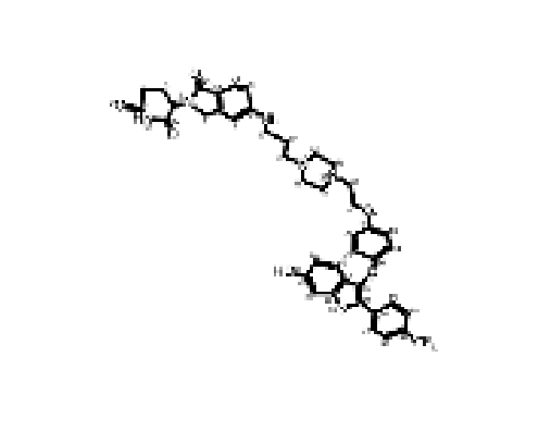 O=C1CCC(N2Cc3cc(NCCCN4CCN(CCOc5ccc(Oc6c(-c7ccc(C(F)(F)F)cc7)sc7cc(O)ccc67)cc5)CC4)ccc3C2=O)C(=O)N1